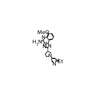 CCn1cc(N2CC[C@@H](c3nc4c5cccc(OC)c5nc(N)n4n3)C2)cn1